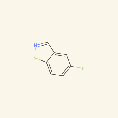 Fc1ccc2sn[c]c2c1